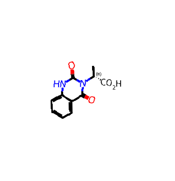 C[C@H](C(=O)O)n1c(=O)[nH]c2ccccc2c1=O